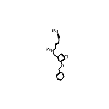 CC(C)N(CC=CC#CC(C)(C)C)Cc1cccc(OCc2ccccc2)c1.Cl